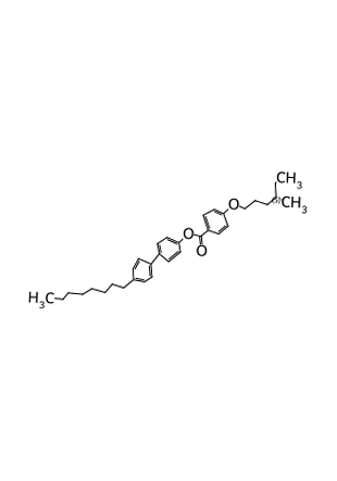 CCCCCCCCc1ccc(-c2ccc(OC(=O)c3ccc(OCCC[C@@H](C)CC)cc3)cc2)cc1